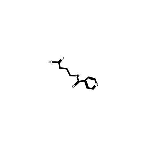 O=C(O)CCCNC(=O)c1ccncc1